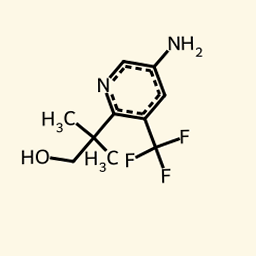 CC(C)(CO)c1ncc(N)cc1C(F)(F)F